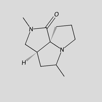 CC1C[C@H]2CN(C)C(=O)[C@]23CCCN13